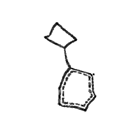 [c]1ccccc1C1CCC1